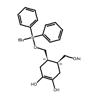 CC(=O)OC[C@H]1CC(O)=C(O)C[C@H]1CO[Si](c1ccccc1)(c1ccccc1)C(C)(C)C